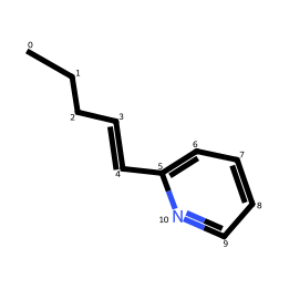 CCC/C=C/c1ccccn1